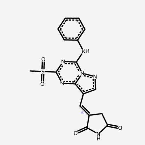 CS(=O)(=O)c1nc(Nc2ccccc2)n2ncc(/C=C3\CC(=O)NC3=O)c2n1